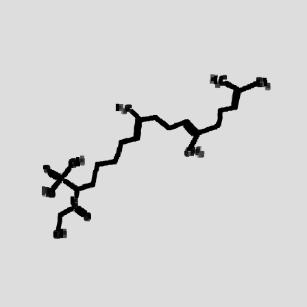 CC(C)=CCCC(C)=CCCC(C)=CCCCCC([PH](=O)CO)P(=O)(O)O